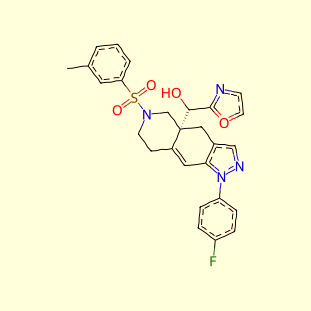 Cc1cccc(S(=O)(=O)N2CCC3=Cc4c(cnn4-c4ccc(F)cc4)C[C@]3(C(O)c3ncco3)C2)c1